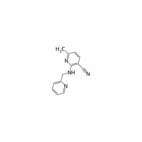 Cc1ccc(C#N)c(NCc2ccccn2)n1